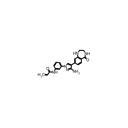 C=CC(=O)Nc1cccc(-n2cc(-c3ccc4c(c3)NCCNC4=O)c(N)n2)c1